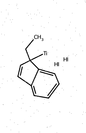 CC[C]1([Ti])C=Cc2ccccc21.I.I